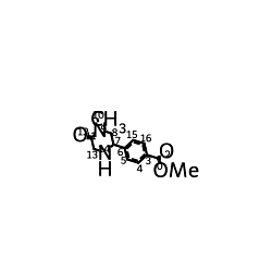 COC(=O)c1ccc(C2CN(C)C(=O)CN2)cc1